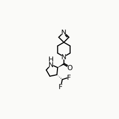 O=C([C@@H]1NCC[C@H]1C(F)F)N1CCC2(C=NC2)CC1